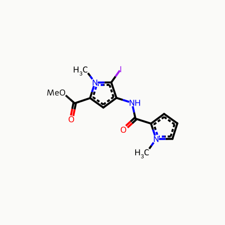 COC(=O)c1cc(NC(=O)c2cccn2C)c(I)n1C